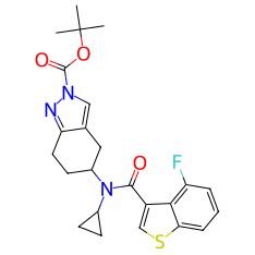 CC(C)(C)OC(=O)n1cc2c(n1)CCC(N(C(=O)c1csc3cccc(F)c13)C1CC1)C2